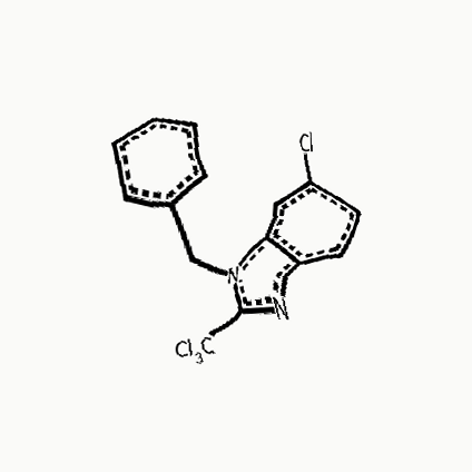 Clc1ccc2nc(C(Cl)(Cl)Cl)n(Cc3ccccc3)c2c1